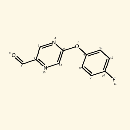 O=Cc1cnc(Oc2ccc(F)cc2)cn1